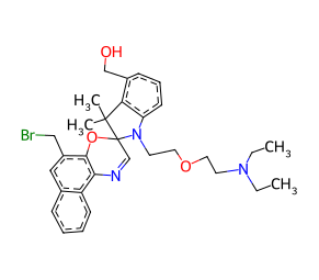 CCN(CC)CCOCCN1c2cccc(CO)c2C(C)(C)C12C=Nc1c(c(CBr)cc3ccccc13)O2